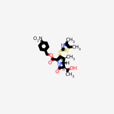 Cc1nc(SC2=C(C(=O)OCc3ccc([N+](=O)[O-])cc3)N3C(=O)[C@H](C(C)O)[C@H]3[C@H]2C)sc1C